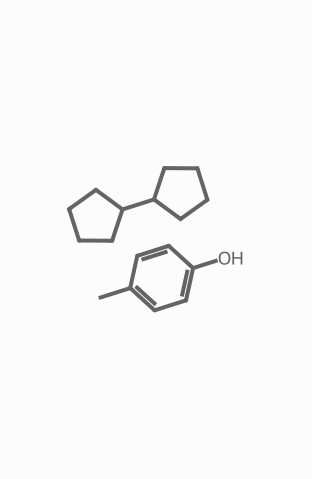 C1CCC(C2CCCC2)C1.Cc1ccc(O)cc1